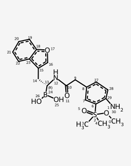 COS(C)(C)(=O)c1cc(CC(=O)N[C@@H](Cc2coc3ccccc23)B(O)O)ccc1N